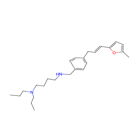 CCCN(CCC)CCCCNCc1ccc(CC=Cc2ccc(C)o2)cc1